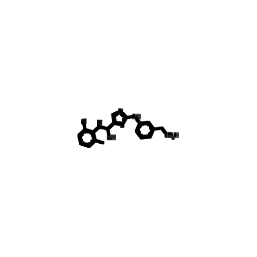 Cc1cccc(Cl)c1NC(O)c1cnc(Nc2cccc(CC(=O)O)c2)s1